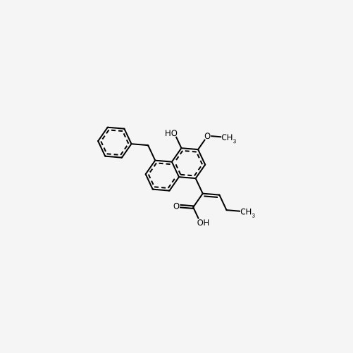 CC/C=C(\C(=O)O)c1cc(OC)c(O)c2c(Cc3ccccc3)cccc12